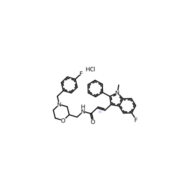 Cl.Cn1c(-c2ccccc2)c(/C=C/C(=O)NCC2CN(Cc3ccc(F)cc3)CCO2)c2cc(F)ccc21